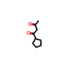 CC(=O)CC(=O)C1CCCC1